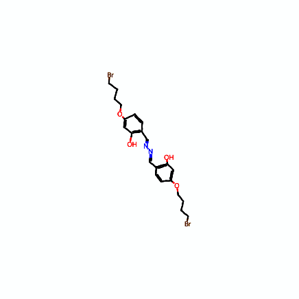 Oc1cc(OCCCCBr)ccc1/C=N/N=C/c1ccc(OCCCCBr)cc1O